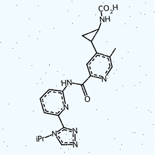 Cc1cnc(C(=O)Nc2cccc(-c3nncn3C(C)C)n2)cc1C1CC1NC(=O)O